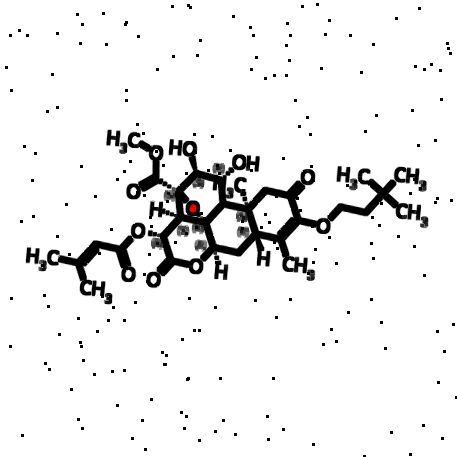 COC(=O)[C@@]12OC[C@]34C([C@@H](O)[C@@H]1O)[C@@]1(C)CC(=O)C(OCCC(C)(C)C)=C(C)[C@@H]1C[C@H]3OC(=O)[C@H](OC(=O)C=C(C)C)[C@@H]24